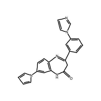 O=C1CC(c2cccc(-n3ccnc3)c2)=Nc2ccc(-n3cccc3)cc2N1